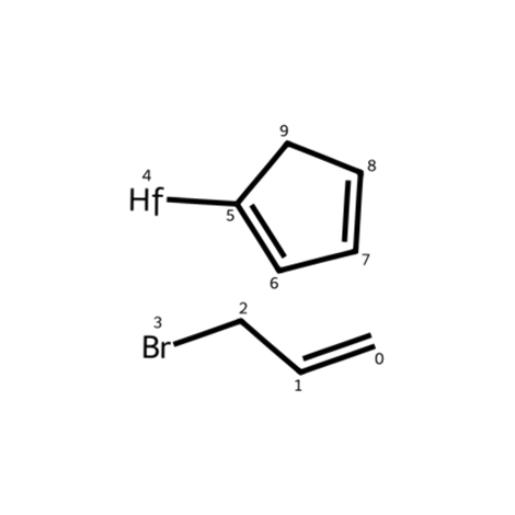 C=CCBr.[Hf][C]1=CC=CC1